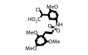 COc1cc(OC)c(C=CS(=O)(=O)Nc2ccc(OC)c(C(Cl)C(=O)O)c2)c(OC)c1